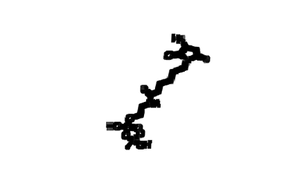 C[P@@](=O)(O)OP(=O)(O)OCCNC(=O)CCCCCN1C(=O)CC(S)C1=O